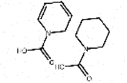 O=C(O)N1C=CC=CC1.O=C(O)N1CCCCC1